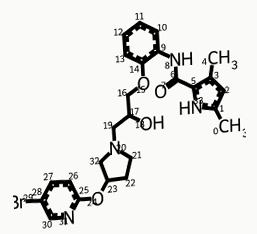 Cc1cc(C)c(C(=O)Nc2ccccc2OCC(O)CN2CCC(Oc3ccc(Br)cn3)C2)[nH]1